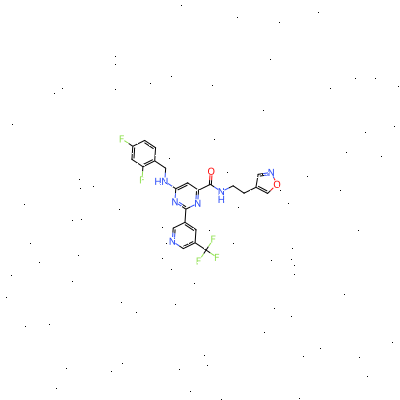 O=C(NCCc1cnoc1)c1cc(NCc2ccc(F)cc2F)nc(-c2cncc(C(F)(F)F)c2)n1